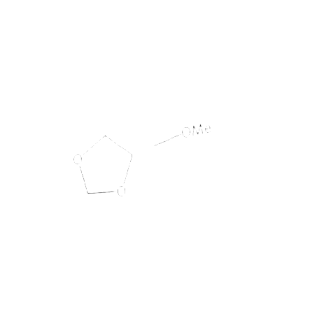 C1COCO1.COC